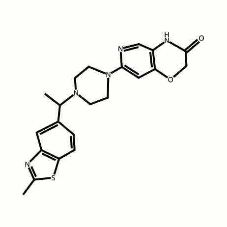 Cc1nc2cc(C(C)N3CCN(c4cc5c(cn4)NC(=O)CO5)CC3)ccc2s1